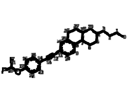 CCCCC1CCC2c3ccc(C#Cc4ccc(OC(F)F)cc4)cc3CCC2C1